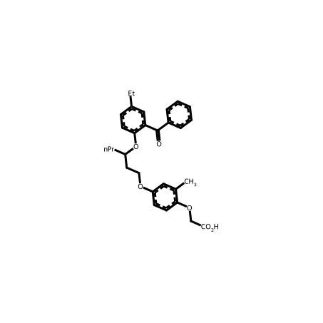 CCCC(CCOc1ccc(OCC(=O)O)c(C)c1)Oc1ccc(CC)cc1C(=O)c1ccccc1